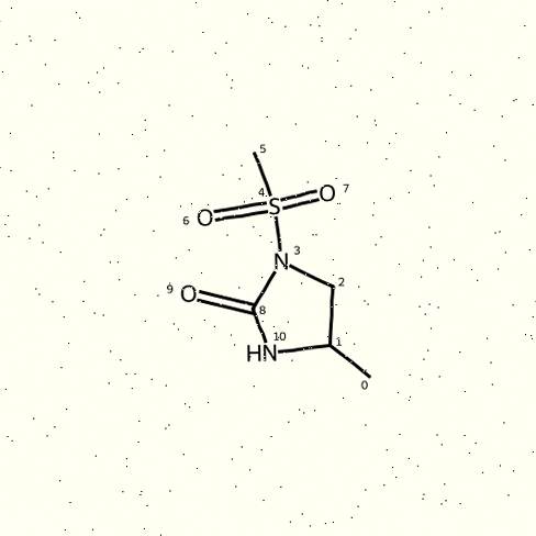 CC1CN(S(C)(=O)=O)C(=O)N1